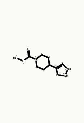 CC(C)(C)OC(=O)N1CCC(C2=CNNN2)CC1